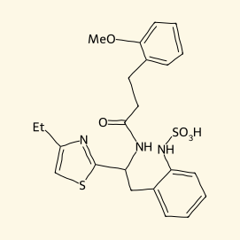 CCc1csc(C(Cc2ccccc2NS(=O)(=O)O)NC(=O)CCc2ccccc2OC)n1